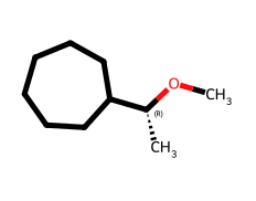 CO[C@H](C)C1CCCCCC1